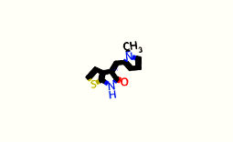 Cn1cccc1/C=C1\C(=O)Nc2sccc21